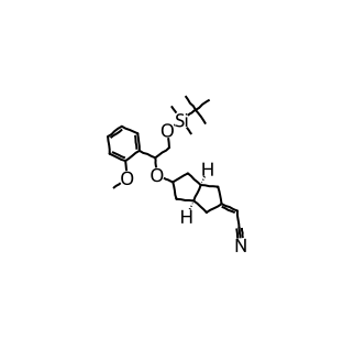 COc1ccccc1C(CO[Si](C)(C)C(C)(C)C)OC1C[C@H]2C/C(=C/C#N)C[C@H]2C1